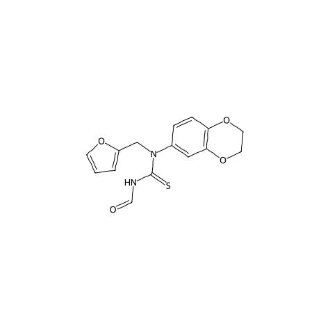 O=CNC(=S)N(Cc1ccco1)c1ccc2c(c1)OCCO2